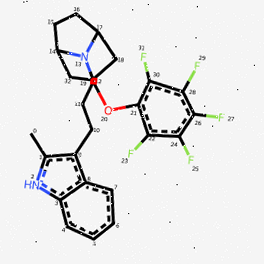 Cc1[nH]c2ccccc2c1CCCN1C2CCC1CC(Oc1c(F)c(F)c(F)c(F)c1F)C2